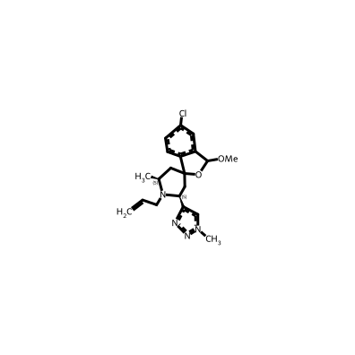 C=CCN1[C@@H](C)CC2(C[C@H]1c1cn(C)nn1)OC(OC)c1cc(Cl)ccc12